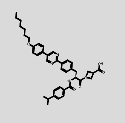 CCCCCCCOc1ccc(-c2cnc(-c3ccc(C[C@H](NC(=O)c4ccc(C(C)C)cc4)C(=O)N4CC(C(=O)O)C4)cc3)nc2)cc1